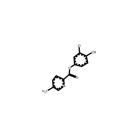 Cc1ccc(C(=O)Oc2ccc(C#N)c(Cl)c2)nc1